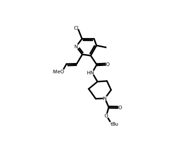 CO/C=C/c1nc(Cl)cc(C)c1C(=O)NC1CCN(C(=O)OC(C)(C)C)CC1